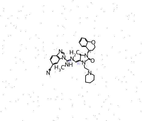 C=c1/c(=C\N=C(/NC)n2cnc3ccc(C#N)cc32)n(CCN2CCCCC2)c(=O)n1[C@@H]1CCOc2ccccc21